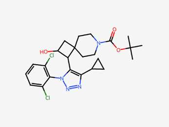 CC(C)(C)OC(=O)N1CCC2(CC1)CC(O)C2c1c(C2CC2)nnn1-c1c(Cl)cccc1Cl